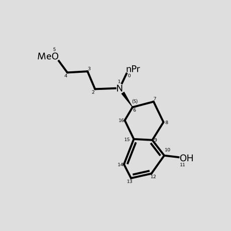 CCCN(CCCOC)[C@H]1CCc2c(O)cccc2C1